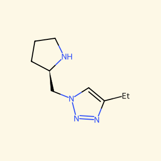 CCc1cn(C[C@H]2CCCN2)nn1